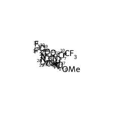 COc1cncc(-c2cc(C(F)(F)F)ccc2NC(=O)C2=C(O)[C@@]3(C)CCCN3N(Cc3cccc(F)c3F)C2=O)c1